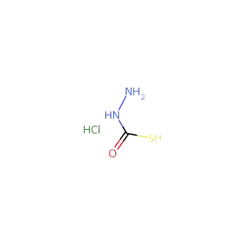 Cl.NNC(=O)S